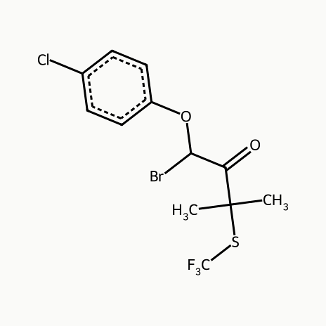 CC(C)(SC(F)(F)F)C(=O)C(Br)Oc1ccc(Cl)cc1